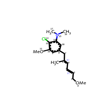 COC/C=C/C=C(\C)Cc1cc(OC)c(Cl)c(N(C)C)c1